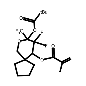 C=C(C)C(=O)OC1C2(CCCC2)COC(OC(=O)C(C)(C)C)(C(F)(F)F)C1(F)F